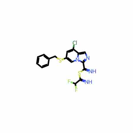 N=C(SC(=N)C(F)F)c1ncc2c(Cl)cc(SCc3ccccc3)cn12